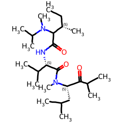 CC[C@H](C)C(C(=O)N[C@H](C(=O)N(C)[C@@H](CC(C)C)C(=O)C(C)C)C(C)C)N(C)C(C)C